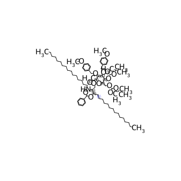 CCCCCCCCCCCCC/C=C/[C@@H](OC(=O)c1ccccc1)[C@H](CO[C@@]1(C)O[C@H](COC(=O)OC(C)(C)C)[C@H](OC(=O)OC(C)(C)C)[C@H](OCc2ccc(OC)cc2)[C@H]1OCc1ccc(OC)cc1)NC(=O)CCCCCCCCCCCCCCC